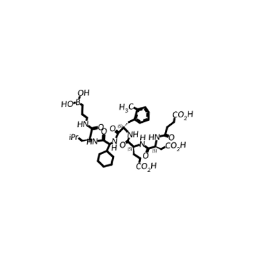 Cc1ccccc1C[C@H](NC(=O)[C@H](CCC(=O)O)NC(=O)[C@H](CC(=O)O)NC(=O)CCC(=O)O)C(=O)NC(C(=O)N[C@@H](CC(C)C)C(=O)NCCCB(O)O)C1CCCCC1